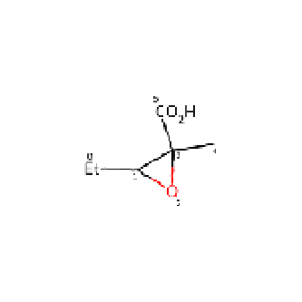 CCC1OC1(C)C(=O)O